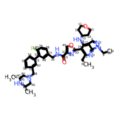 CCc1nc2c(cnn2CC)c(NC2CCOCC2)c1-c1nc(C(=O)NCc2ccc(F)c(-c3cccc(CN4C[C@@H](C)N[C@@H](C)C4)c3)c2)co1